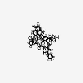 CC[C@@]1(O)C(=O)OCc2c1cc1n(c2=O)Cc2c-1nc1cc(F)c(C)c3c1c2[C@@H](NC(=O)C1(OCNC(=O)CNC(=O)[C@@H](C)Cc2ccccc2)CCCC1)CC3